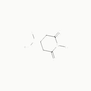 CC(C)(C)OC=O.O=C1CCCC(=O)N1Br